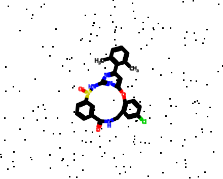 Cc1cccc(C)c1-c1cc2nc(n1)N[S+]([O-])c1cccc(c1)C(=O)NCc1cc(Cl)ccc1O2